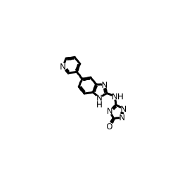 O=C1N=NC(Nc2nc3cc(-c4cccnc4)ccc3[nH]2)=N1